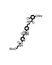 COCCNC(=O)Oc1ccc(C(=O)NS(=O)(=O)c2ccc(CCNC(=O)c3cc(OC)ccc3Cl)cc2)cn1